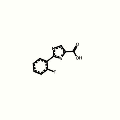 O=C(O)c1cnc(-c2ccccc2F)s1